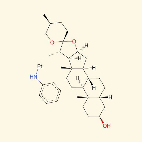 CCNc1ccccc1.C[C@H]1CC[C@@]2(OC1)O[C@H]1C[C@H]3[C@@H]4CC[C@@H]5C[C@@H](O)CC[C@]5(C)[C@H]4CC[C@]3(C)[C@H]1[C@@H]2C